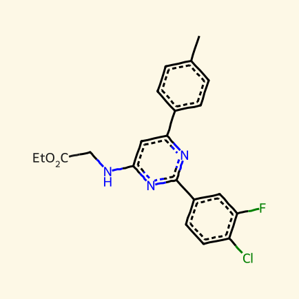 CCOC(=O)CNc1cc(-c2ccc(C)cc2)nc(-c2ccc(Cl)c(F)c2)n1